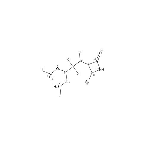 C[SiH2]OC(O[SiH2]C)C(C)(C)C(C)C1C(=O)NC1C(C)=O